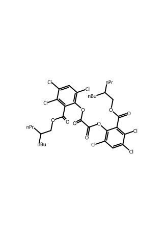 CCCCC(CCC)COC(=O)c1c(Cl)c(Cl)cc(Cl)c1OC(=O)C(=O)Oc1c(Cl)cc(Cl)c(Cl)c1C(=O)OCC(CCC)CCCC